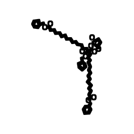 O=C(CCCCCCCCCCCCCCC(CCCCCCCCCCCCCCC(=O)OCc1ccccc1)(C(=O)OCc1ccccc1)C(=O)ON1C(=O)CCC1=O)OCc1ccccc1